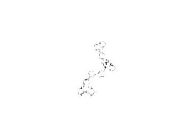 c1cc(-c2cccc(-c3nc(-c4ccc(-c5cccc6ccccc56)cc4)nc4ccccc34)c2)cc(-c2ccc3c4ccccc4c4ccccc4c3c2)c1